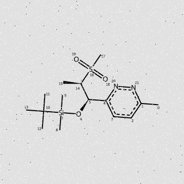 Cc1ccc([C@@H](O[Si](C)(C)C(C)(C)C)[C@@H](C)S(C)(=O)=O)nn1